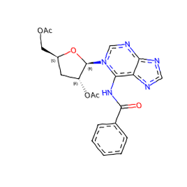 CC(=O)OC[C@@H]1C[C@@H](OC(C)=O)[C@H](n2cnc3ncnc-3c2NC(=O)c2ccccc2)O1